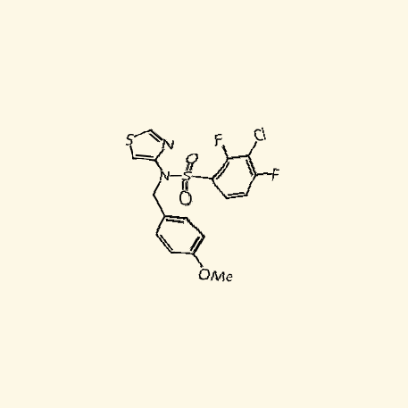 COc1ccc(CN(c2cscn2)S(=O)(=O)c2ccc(F)c(Cl)c2F)cc1